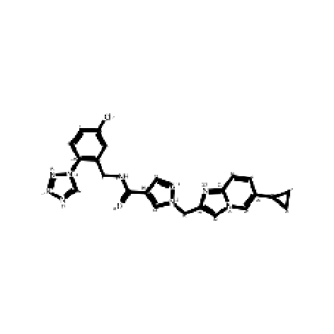 O=C(NCc1cc(Cl)ccc1-n1cnnn1)c1cnn(Cc2cn3cc(C4CC4)ccc3n2)c1